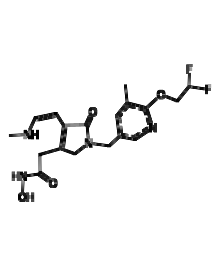 CN/C=C\C1=C(CC(=O)NO)CN(Cc2cnc(OCC(F)F)c(C)c2)C1=O